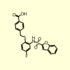 O=C(O)c1ccc(CSc2ccc(F)cc2NS(=O)(=O)c2cc3ccccc3o2)cc1